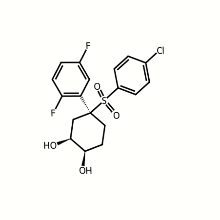 O=S(=O)(c1ccc(Cl)cc1)[C@@]1(c2cc(F)ccc2F)CC[C@@H](O)[C@@H](O)C1